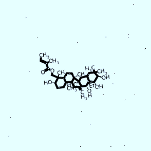 C=CCC1[C@@]2(C)CC[C@H](O)[C@](C)(COC(=O)/C(C)=C/C)C2CC[C@@]1(C)[C@@]1(C)CC2CC(C)(C)[C@@H](O)[C@H](O)[C@]2(CC)[C@H](O)C1